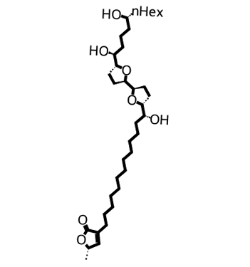 CCCCCC[C@@H](O)CCC[C@H](O)[C@H]1CC[C@H]([C@H]2CC[C@H]([C@H](O)CCCCCCCCCCCCC3=C[C@H](C)OC3=O)O2)O1